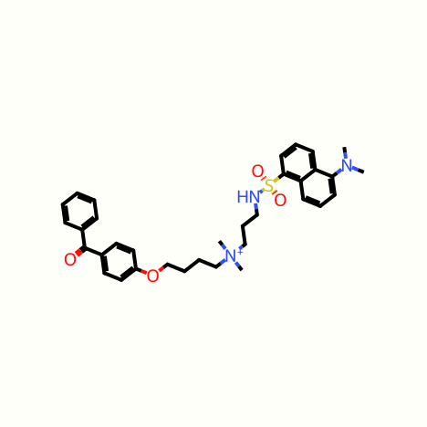 CN(C)c1cccc2c(S(=O)(=O)NCCC[N+](C)(C)CCCCOc3ccc(C(=O)c4ccccc4)cc3)cccc12